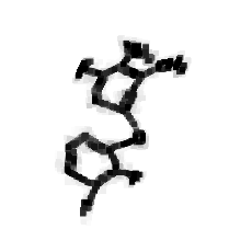 Cc1cc(Oc2cccc(F)c2F)cc(F)c1N